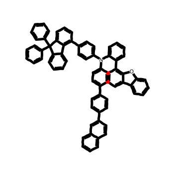 c1ccc(C2(c3ccccc3)c3ccccc3-c3c(-c4ccc(N(c5ccc(-c6ccc(-c7ccc8ccccc8c7)cc6)cc5)c5ccccc5-c5cccc6c5oc5ccccc56)cc4)cccc32)cc1